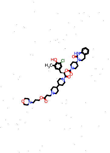 Cc1cc(C[C@@H](OC(=O)N2CCC(N3CCc4ccccc4NC3=O)CC2)C(=O)N2CCC(C3CCN(CCC(=O)OCCCN4CCOCC4)CC3)CC2)cc(Cl)c1O